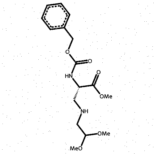 COC(=O)[C@H](CNCC(OC)OC)NC(=O)OCc1ccccc1